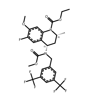 CCOC(=O)N1c2cc(OC)c(F)cc2[C@@H](N(Cc2cc(C(F)(F)F)cc(C(F)(F)F)c2)C(=O)OC)C[C@H]1C